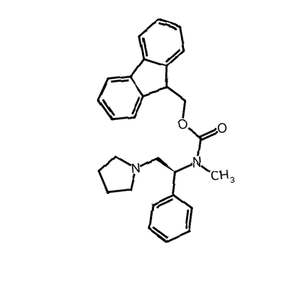 CN(C(=O)OCC1c2ccccc2-c2ccccc21)[C@H](CN1CCCC1)c1ccccc1